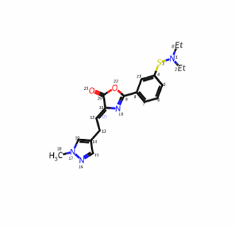 CCN(CC)Sc1cccc(C2=N/C(=C\Cc3cnn(C)c3)C(=O)O2)c1